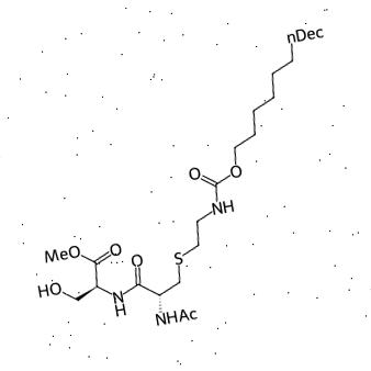 CCCCCCCCCCCCCCCCOC(=O)NCCSC[C@H](NC(C)=O)C(=O)N[C@@H](CO)C(=O)OC